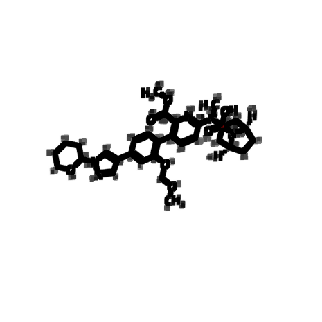 COCOc1cc(-c2cnn(C3CCCCO3)c2)ccc1-c1ccc(N(C)C2C[C@H]3CC[C@@H](C2)N3C(=O)O)nc1C(=O)OC